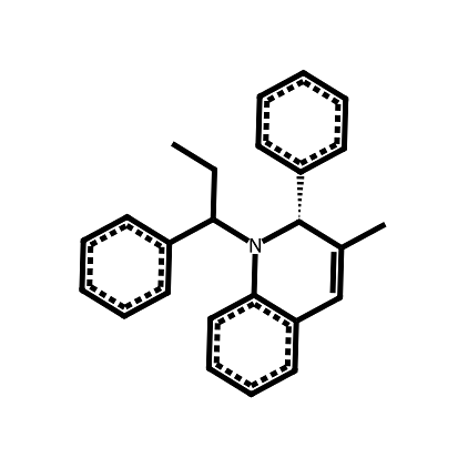 CCC(c1ccccc1)N1c2ccccc2C=C(C)[C@H]1c1ccccc1